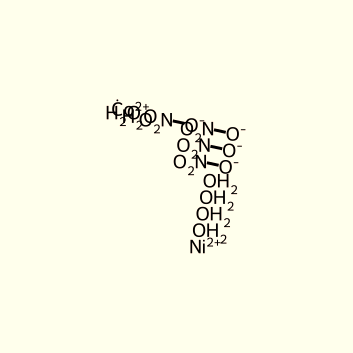 O.O.O.O.O.O.O=[N+]([O-])[O-].O=[N+]([O-])[O-].O=[N+]([O-])[O-].O=[N+]([O-])[O-].[Co+2].[Ni+2]